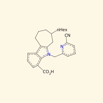 CCCCCCC1CCCc2c(n(Cc3cccc(C#N)n3)c3c(C(=O)O)cccc23)C1